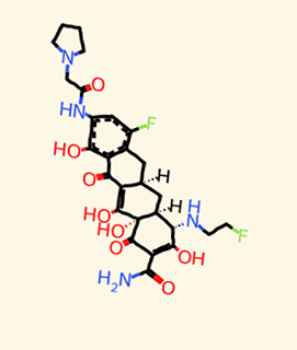 NC(=O)C1=C(O)[C@@H](NCCF)[C@@H]2C[C@@H]3Cc4c(F)cc(NC(=O)CN5CCCC5)c(O)c4C(=O)C3=C(O)[C@]2(O)C1=O